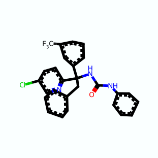 O=C(Nc1ccccc1)NC(Cc1ccccc1)(c1cccc(C(F)(F)F)c1)c1ccc(Cl)cn1